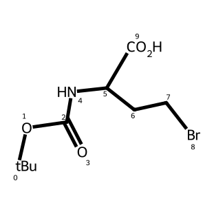 CC(C)(C)OC(=O)NC(CCBr)C(=O)O